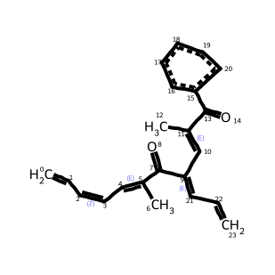 C=C/C=C\C=C(/C)C(=O)C(/C=C(\C)C(=O)c1ccccc1)=C/C=C